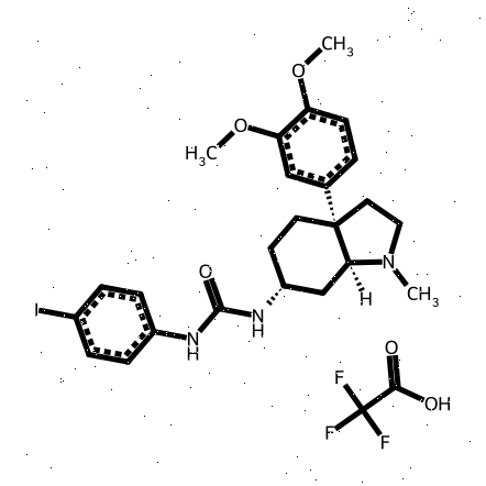 COc1ccc([C@@]23CC[C@@H](NC(=O)Nc4ccc(I)cc4)C[C@@H]2N(C)CC3)cc1OC.O=C(O)C(F)(F)F